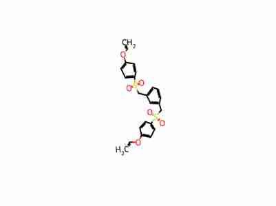 C=COc1ccc(S(=O)(=O)Cc2cccc(CS(=O)(=O)c3ccc(OC=C)cc3)c2)cc1